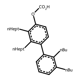 CCCCCCCc1c(OC(=O)O)ccc(-c2cccc(CCCC)c2CCCC)c1CCCCCCC